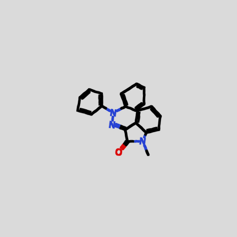 CN1C(=O)C(=NN(c2ccccc2)c2ccccc2)c2ccccc21